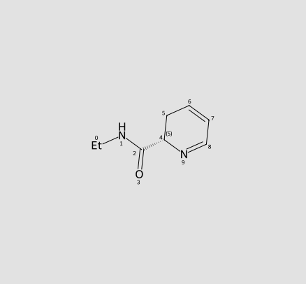 CCNC(=O)[C@@H]1CC=CC=N1